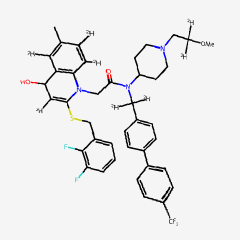 [2H]C1=C(SCc2cccc(F)c2F)N(CC(=O)N(C2CCN(CC([2H])([2H])OC)CC2)C([2H])([2H])c2ccc(-c3ccc(C(F)(F)F)cc3)cc2)c2c([2H])c([2H])c(C)c([2H])c2C1O